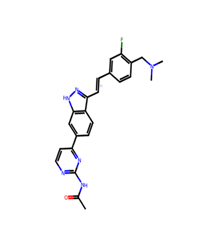 CC(=O)Nc1nccc(-c2ccc3c(/C=C/c4ccc(CN(C)C)c(F)c4)n[nH]c3c2)n1